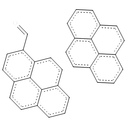 O=Cc1ccc2ccc3cccc4ccc1c2c34.c1cc2ccc3cccc4ccc(c1)c2c34